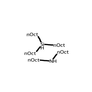 CCCCCCCCNCCCCCCCC.CCCCCCCC[SiH](CCCCCCCC)CCCCCCCC